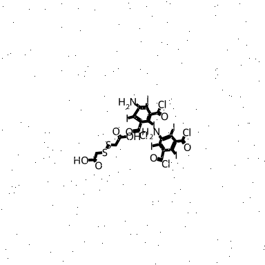 Nc1c(I)c(C(=O)Cl)c(I)c(C(=O)Cl)c1I.Nc1c(I)c(C(=O)Cl)c(I)c(C(=O)Cl)c1I.O=C(O)CSSCC(=O)O